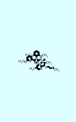 COCCO[C@H](c1ncc(C)cn1)[C@H](C)S(=O)(=O)Nc1nnc(-c2cccc(OC)n2)n1-c1c(OC)cccc1OC